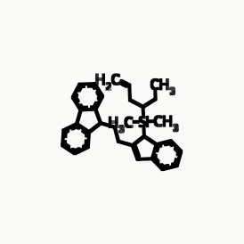 C=CCC(CC)[Si](C)(C)C1C(CCC2c3ccccc3-c3ccccc32)=Cc2ccccc21